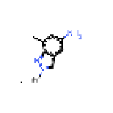 Cc1cc(N)cc2cn(C(C)C)nc12